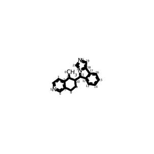 CC1c2ccncc2CCC1C1c2ccccc2-c2cncn21